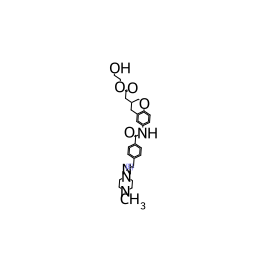 CN1CCN(/N=C/c2ccc(C(=O)Nc3ccc4c(c3)CC(CC(=O)OCCO)CO4)cc2)CC1